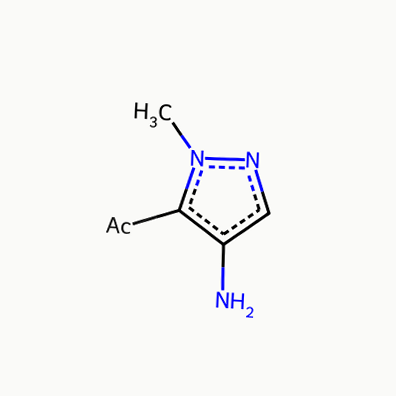 CC(=O)c1c(N)cnn1C